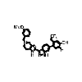 COc1cccc(CN2CCc3[nH]c(-c4n[nH]c5cc(-c6cc(F)c(O)cc6CC(F)(F)F)ccc45)nc3C2)c1